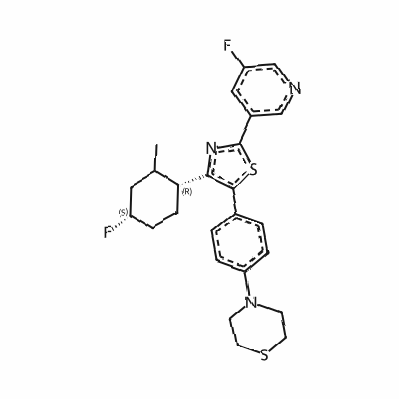 CC1C[C@@H](F)CC[C@H]1c1nc(-c2cncc(F)c2)sc1-c1ccc(N2CCSCC2)cc1